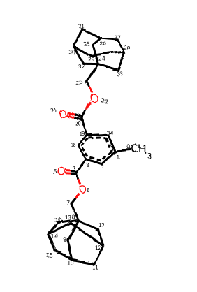 Cc1cc(C(=O)OCC23CC4CC(CC(C4)C2)C3)cc(C(=O)OCC23CC4CC(CC(C4)C2)C3)c1